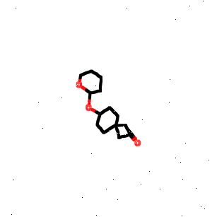 O=C1CC2(CCC(OC3CCCCO3)CC2)C1